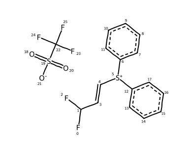 FC(F)/C=C/[S+](c1ccccc1)c1ccccc1.O=S(=O)([O-])C(F)(F)F